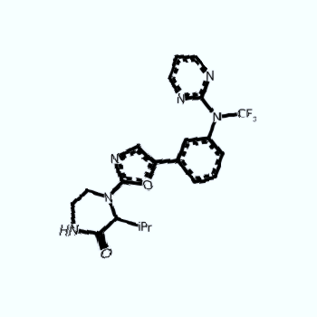 CC(C)C1C(=O)NCCN1c1ncc(-c2cccc(N(c3ncccn3)C(F)(F)F)c2)o1